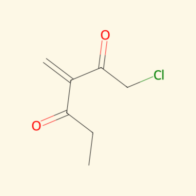 C=C(C(=O)CC)C(=O)CCl